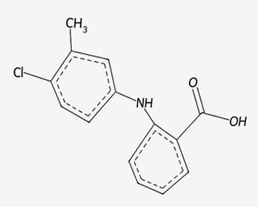 Cc1cc(Nc2ccccc2C(=O)O)ccc1Cl